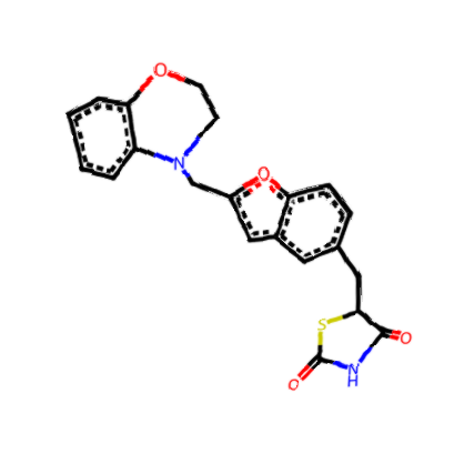 O=C1NC(=O)C(Cc2ccc3oc(CN4CCOc5ccccc54)cc3c2)S1